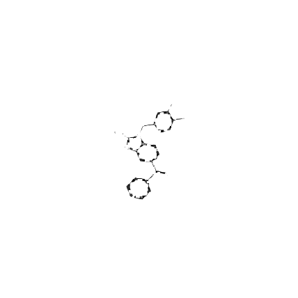 CCCc1nc2cc(C(=O)c3ccccc3)ccc2n1Cc1ccc(Cl)c(Cl)c1